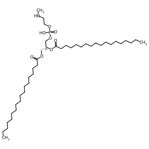 CCCCCCCCCCCCCCCCCC(=O)OC[C@H](COP(=O)(O)OCCNC)OC(=O)CCCCCCCCCCCCCCCCC